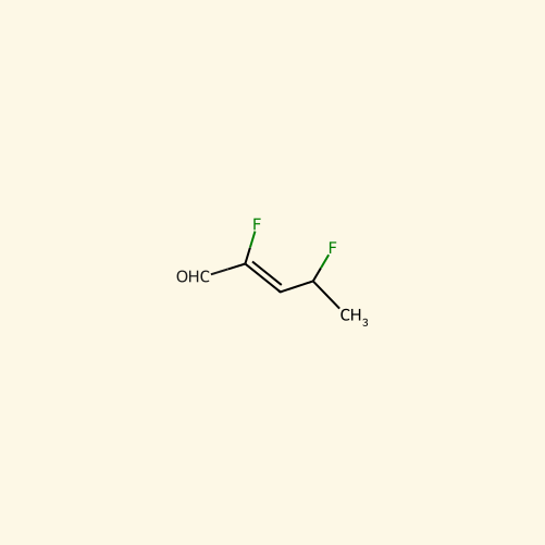 CC(F)/C=C(\F)C=O